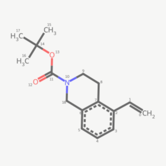 C=Cc1cccc2c1CCN(C(=O)OC(C)(C)C)C2